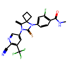 C=C1N(c2cnc(C#N)c(C(F)(F)F)c2)C(=S)N(c2ccc(C(=O)NC)c(F)c2)C12CCC2